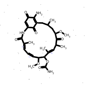 COC1CC(C)CC2=C(N)C(=O)C=C(NC(=O)/C(C)=C/C=C\C(OC)C(OC(N)=O)/C(C)=C/C(C)C1=O)C2=O